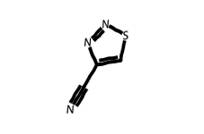 N#Cc1csnn1